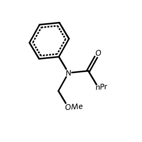 CCCC(=O)N(COC)c1ccccc1